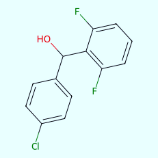 OC(c1ccc(Cl)cc1)c1c(F)cccc1F